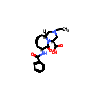 CCN1C[C@@H]2CC=CC[C@H](NC(=O)c3ccccc3)C(=O)N2[C@H](C(=O)O)C1